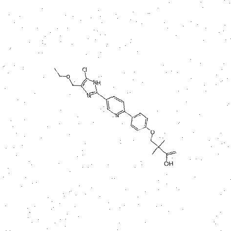 C=C(O)C(C)(C)COc1ccc(-c2ccc(-c3nc(COCC)c(Cl)[nH]3)cn2)cc1